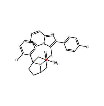 NC(=O)N1C2CCC1(c1ccccc1Cl)CN(Cc1c(-c3ccc(Cl)cc3)nc3ccccn13)C2